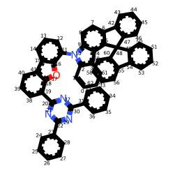 C1=Cc2c(c3c4c(ccc3n2-c2cccc3c2oc2c(-c5nc(-c6ccccc6)nc(-c6ccccc6)n5)cccc23)-c2ccccc2C42c3ccccc3-c3ccccc32)CC1